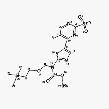 Cc1cnc(S(C)(=O)=O)nc1-c1cnc(N(COCC[Si](C)(C)C)C(=O)OC(C)(C)C)s1